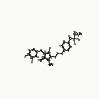 CCCn1c(CCCc2ccc(OC(C)(C)C(=O)OCC)cc2)c(C)n(Cc2ccc(C)c(C)c2)c1=O